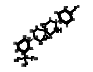 Fc1ccc([C@H]2COC3(CC[C@@H](c4cccc(C(F)(F)F)c4)CO3)CN2)cc1